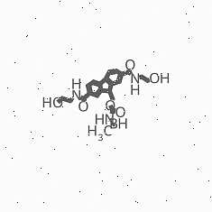 CBNC(=O)OCC1c2cc(C(=O)NCCO)ccc2-c2ccc(C(=O)NCCO)cc21